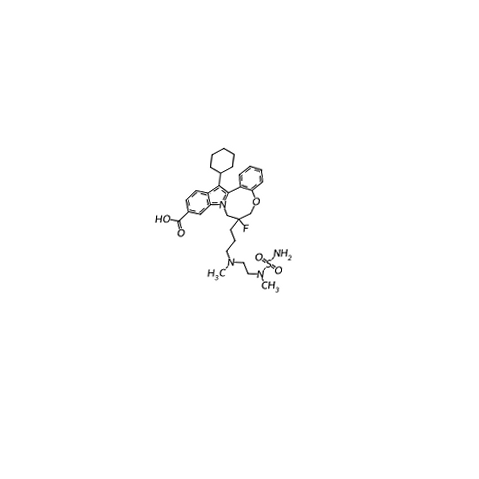 CN(CCCC1(F)COc2ccccc2-c2c(C3CCCCC3)c3ccc(C(=O)O)cc3n2C1)CCN(C)S(N)(=O)=O